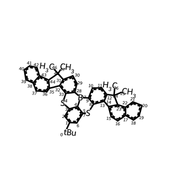 CC(C)(C)c1cc2c3c(c1)Sc1c(ccc4c1-c1ccc5ccccc5c1C4(C)C)B3c1ccc3c(c1S2)-c1ccc2ccccc2c1C3(C)C